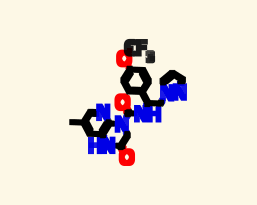 Cc1cnc2c(c1)NC(=O)CN2C(=O)NC(Cn1cccn1)c1ccc(OC(F)(F)F)cc1